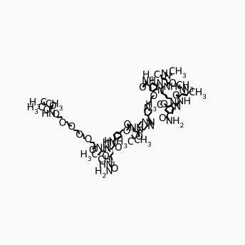 CCn1nc(C)cc1C(=O)Nc1nc2cc(C(N)=O)cc(OC)c2n1C/C=C/Cn1c(NC(=O)c2cc(C)nn2CC)nc2cc(C(N)=O)cc(OCCCN3CCC(c4nnc5n4CCN(C(=O)[C@H](CC(C)C)NC(=O)OCc4ccc(NC(=O)[C@H](CCCNC(N)=O)NC(=O)[C@@H](NC(=O)CCOCCOCCOCCOCCONC(=O)OC(C)(C)C)C(C)C)cc4)C5)CC3)c21